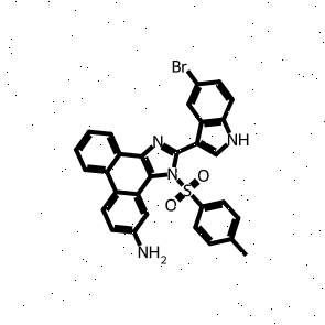 Cc1ccc(S(=O)(=O)n2c(-c3c[nH]c4ccc(Br)cc34)nc3c4ccccc4c4ccc(N)cc4c32)cc1